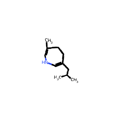 CC1=CNC=C(CC(C)C)CC1